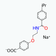 CC(C)c1ccc(C(=O)NCCOc2ccc(C(=O)[O-])cc2)cc1.[Na+]